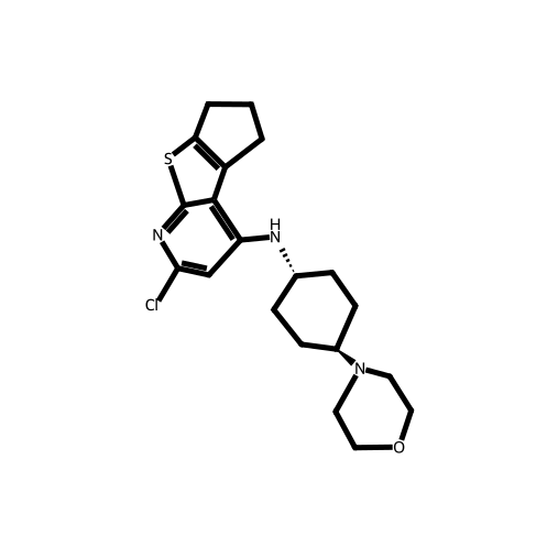 Clc1cc(N[C@H]2CC[C@H](N3CCOCC3)CC2)c2c3c(sc2n1)CCC3